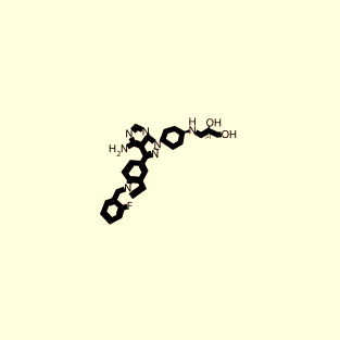 Nc1ncnc2c1c(-c1ccc3c(ccn3Cc3ccccc3F)c1)nn2[C@H]1CC[C@H](NC[C@H](O)CO)CC1